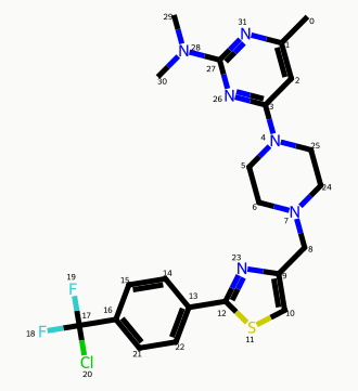 Cc1cc(N2CCN(Cc3csc(-c4ccc(C(F)(F)Cl)cc4)n3)CC2)nc(N(C)C)n1